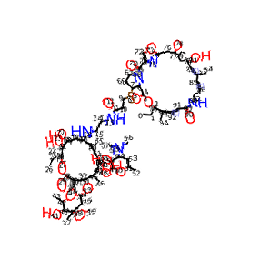 CC[C@H]1OC(=O)C2C(SCCC(=O)NCCN[C@@H]3C[C@@H](O)[C@](C)(O)[C@@H](CC)OC(=O)[C@H](C)[C@@H](OC4CC(C)(OC)C(O)C(C)O4)C(C)[C@@H](OC4OC(C)CC(N(C)C)C4O)[C@](C)(O)C[C@H]3C)CCN2C(=O)c2coc(n2)CC(=O)C[C@H](O)/C=C(C)/C=C/CNC(=O)/C=C/[C@H]1C